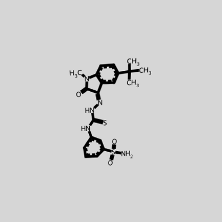 CN1C(=O)C(=NNC(=S)Nc2cccc(S(N)(=O)=O)c2)c2cc(C(C)(C)C)ccc21